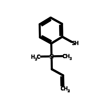 C=CC[Si](C)(C)c1ccccc1S